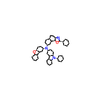 c1ccc(-c2nc3ccc4ccc(N(c5ccc6oc7ccccc7c6c5)c5ccc6c(c5)c5ccccc5n6-c5ccccc5)cc4c3o2)cc1